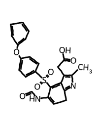 CC1=C(CC(=O)O)C2=C(S(=O)(=O)c3ccc(Oc4ccccc4)cc3)C(NC=O)=CCC2=N1